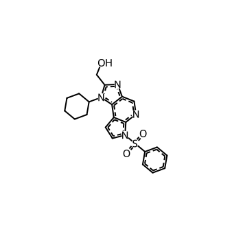 O=S(=O)(c1ccccc1)n1ccc2c1ncc1nc(CO)n(C3CCCCC3)c12